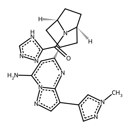 Cn1cc(-c2cnn3c(N)cc([C@@H]4C[C@H]5CC[C@@H](C4)N5C(=O)c4nnc[nH]4)nc23)cn1